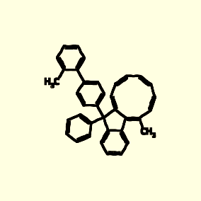 Cc1ccccc1-c1ccc(C2(c3ccccc3)c3ccccc3-c3c(C)cccccccc32)cc1